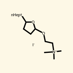 CCCCCCCC1CCC(OCC[N+](C)(C)C)O1.[I-]